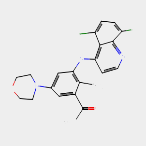 COC(=O)c1cc(N2CCOCC2)cc(Nc2ccnc3c(Cl)ccc(Cl)c23)c1[N+](=O)[O-]